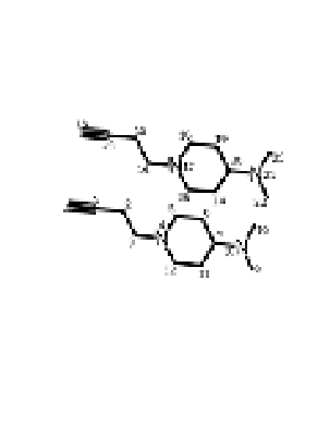 C#CCCN1CCC(N(C)C)CC1.C#CCCN1CCC(N(C)C)CC1